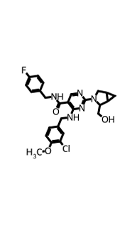 COc1ccc(CNc2nc(N3CC4CC4C3CO)ncc2C(=O)NCc2ccc(F)cc2)cc1Cl